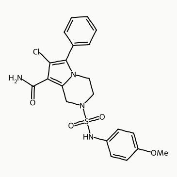 COc1ccc(NS(=O)(=O)N2CCn3c(c(C(N)=O)c(Cl)c3-c3ccccc3)C2)cc1